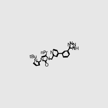 CCCc1cn(-c2cccn2C(C)(C)C)c(=O)n1Cc1cc(-c2cccc(-c3nnn[nH]3)c2)ccn1